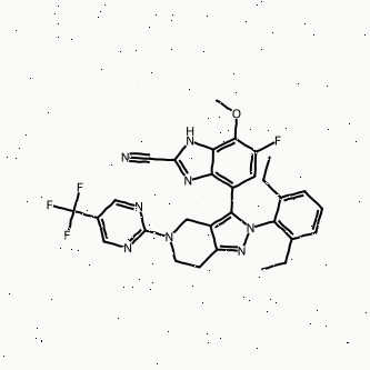 CCc1cccc(CC)c1-n1nc2c(c1-c1cc(F)c(OC)c3[nH]c(C#N)nc13)CN(c1ncc(C(F)(F)F)cn1)CC2